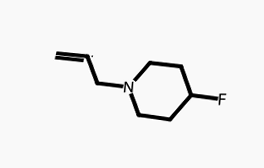 C=[C]CN1CCC(F)CC1